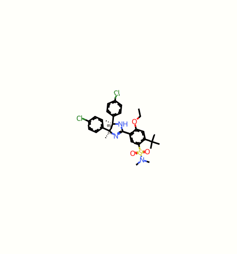 CCOc1cc(C(C)(C)C)c(S(=O)(=O)N(C)C)cc1C1=N[C@@](C)(c2ccc(Cl)cc2)[C@@](C)(c2ccc(Cl)cc2)N1